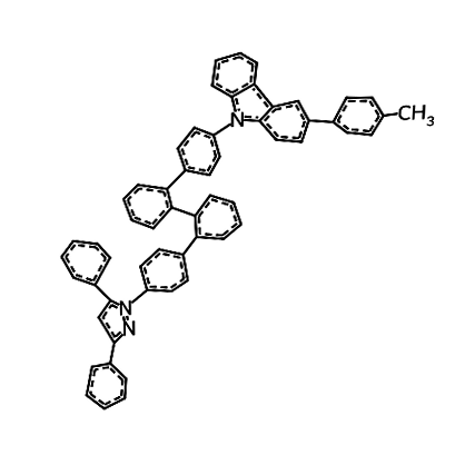 Cc1ccc(-c2ccc3c(c2)c2ccccc2n3-c2ccc(-c3ccccc3-c3ccccc3-c3ccc(-n4nc(-c5ccccc5)cc4-c4ccccc4)cc3)cc2)cc1